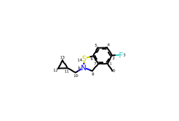 Cc1c(F)ccc2c1CN(CC1CC1)S2